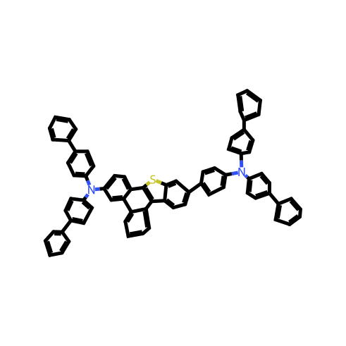 c1ccc(-c2ccc(N(c3ccc(-c4ccccc4)cc3)c3ccc(-c4ccc5c(c4)sc4c6ccc(N(c7ccc(-c8ccccc8)cc7)c7ccc(-c8ccccc8)cc7)cc6c6ccccc6c54)cc3)cc2)cc1